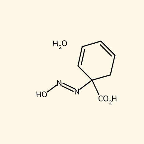 O.O=C(O)C1(N=NO)C=CC=CC1